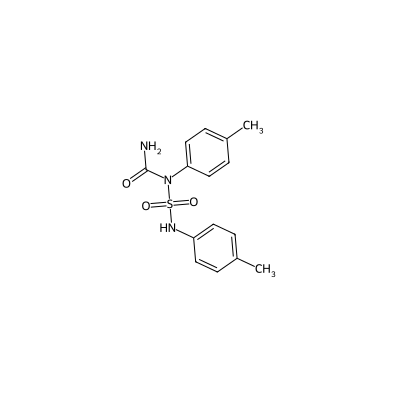 Cc1ccc(NS(=O)(=O)N(C(N)=O)c2ccc(C)cc2)cc1